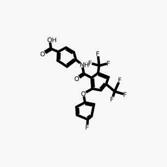 O=C(O)c1ccc(NC(=O)c2c(Oc3ccc(F)cc3)cc(C(F)(F)F)cc2C(F)(F)F)cc1